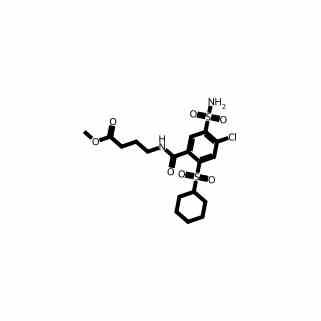 COC(=O)CCCNC(=O)c1cc(S(N)(=O)=O)c(Cl)cc1S(=O)(=O)C1CCCCC1